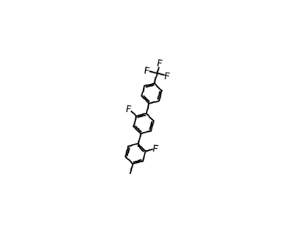 Cc1ccc(-c2ccc(-c3ccc(C(F)(F)F)cc3)c(F)c2)c(F)c1